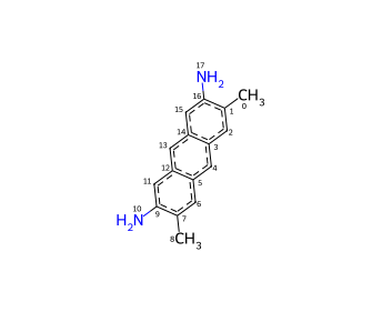 Cc1cc2cc3cc(C)c(N)cc3cc2cc1N